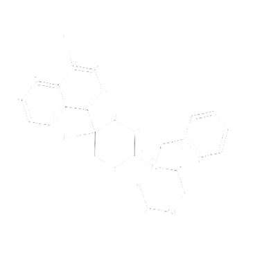 OC1(c2ccc(F)c3ccccc23)CCC([N+]2(Cc3ccccc3)CCNCC2)CC1